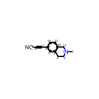 CN1CCc2cc(C#CC#N)ccc2C1